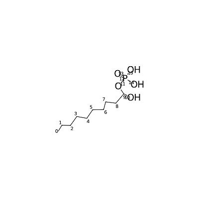 CCCCCCCCCC(O)OP(=O)(O)O